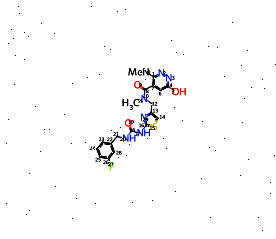 CNc1nnc(O)cc1C(=O)N(C)Cc1csc(NC(=O)NCc2cccc(F)c2)n1